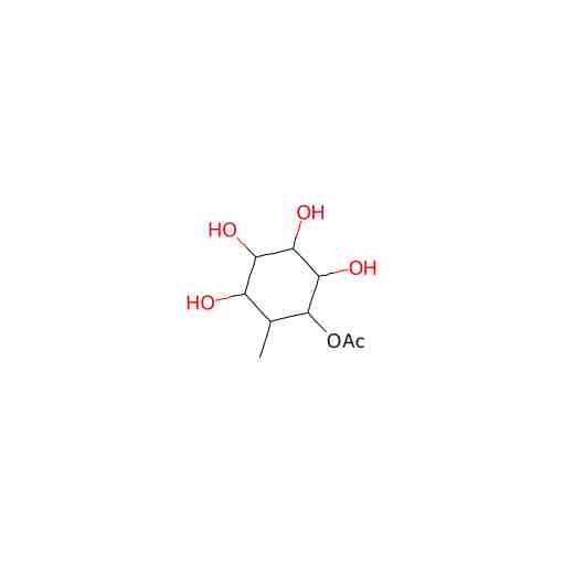 CC(=O)OC1C(C)C(O)C(O)C(O)C1O